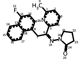 Cc1cccc(/C(Cc2ccc(F)c3ccccc23)=N\N2CCCC2=O)n1